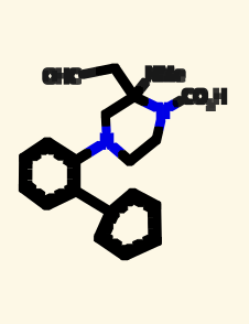 CNC1(CC=O)CN(c2ccccc2-c2ccccc2)CCN1C(=O)O